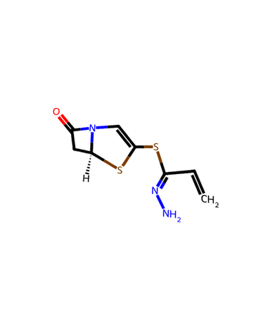 C=CC(=NN)SC1=CN2C(=O)C[C@@H]2S1